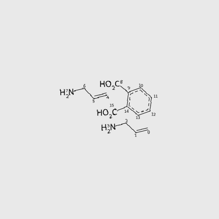 C=CCN.C=CCN.O=C(O)c1ccccc1C(=O)O